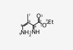 CCOC(=O)C(=N)/C(I)=C\N